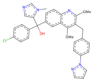 COc1nc2ccc(C(O)(c3ccc(Cl)cc3)c3cncn3C)cc2c(OC)c1Cc1ccc(-n2cccn2)cc1